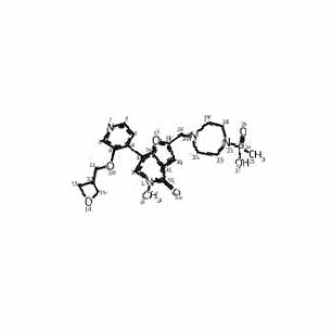 Cn1cc(-c2ccncc2OCC2COC2)c2oc(CN3CCN(P(C)(=O)O)CC3)cc2c1=O